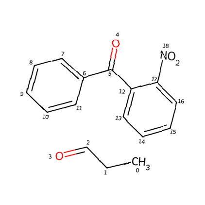 CCC=O.O=C(c1ccccc1)c1ccccc1[N+](=O)[O-]